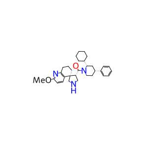 COc1ccc2c(n1)CCC[C@]21CNC[C@H]1C(=O)N1CC[C@@H](c2ccccc2)C[C@H]1C1CCCCC1